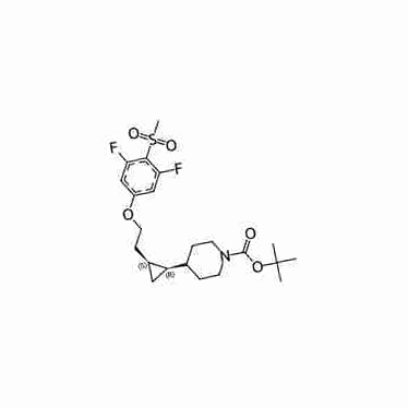 CC(C)(C)OC(=O)N1CCC([C@H]2C[C@H]2CCOc2cc(F)c(S(C)(=O)=O)c(F)c2)CC1